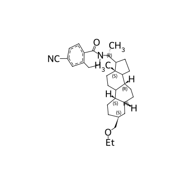 CCOC[C@H]1CC[C@@H]2C3CC[C@@]4(C)C(CCC4[C@@H](C)N4CCc5cc(C#N)ccc5C4=O)[C@@H]3CC[C@@H]2C1